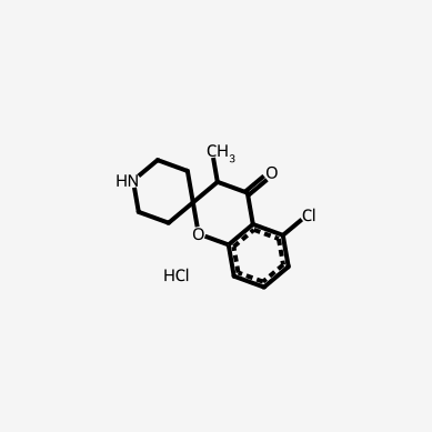 CC1C(=O)c2c(Cl)cccc2OC12CCNCC2.Cl